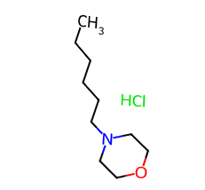 CCCCCCN1CCOCC1.Cl